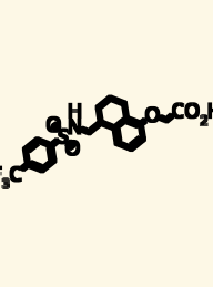 O=C(O)COc1cccc2c1CCCC2CNS(=O)(=O)c1ccc(C(F)(F)F)cc1